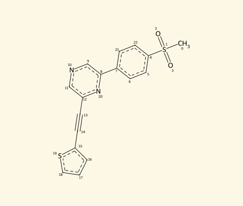 CS(=O)(=O)c1ccc(-c2cncc(C#Cc3cccs3)n2)cc1